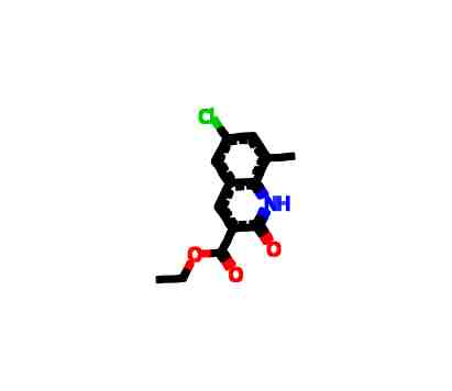 CCOC(=O)c1cc2cc(Cl)cc(C)c2[nH]c1=O